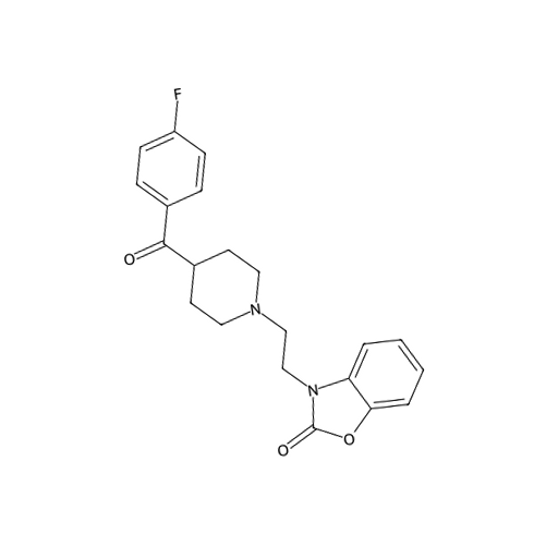 O=C(c1ccc(F)cc1)C1CCN(CCn2c(=O)oc3ccccc32)CC1